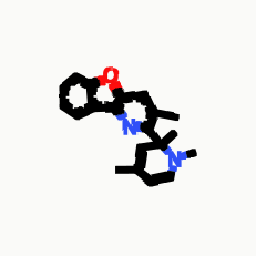 CC1=CC(C)(c2nc3c(cc2C)oc2ccccc23)N(C)C=C1